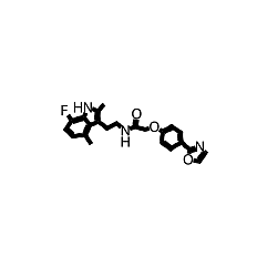 Cc1[nH]c2c(F)ccc(C)c2c1CCNC(=O)COc1ccc(-c2ncco2)cc1